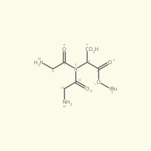 CC(C)(C)OC(=O)C(C(=O)O)N(C(=O)CN)C(=O)CN